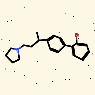 CC(CCN1CCCC1)c1ccc(-c2ccccc2Br)cc1